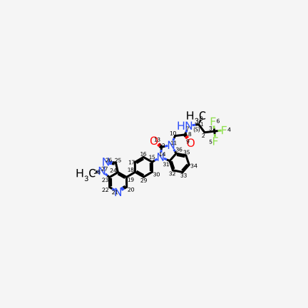 C[C@@H](CC(F)(F)F)NC(=O)Cn1c(=O)n(-c2ccc(-c3cncc4c3cnn4C)cc2)c2ccccc21